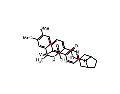 COc1ccc(C(C)NC(=O)c2ccc(N3C4CCC3CC(NC(=O)c3cccc(OC)c3C)C4)nc2)cc1OC